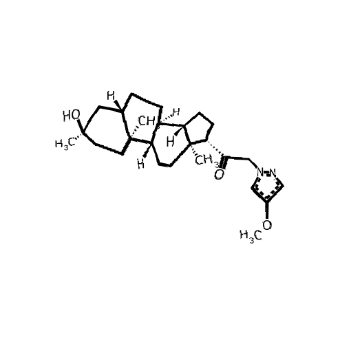 COc1cnn(CC(=O)[C@H]2CC[C@H]3[C@@H]4CC[C@H]5C[C@](C)(O)CC[C@]5(C)[C@H]4CC[C@]23C)c1